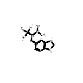 [2H]N(C)C(Cc1ccc2c(c1)OCO2)C([2H])([2H])[2H]